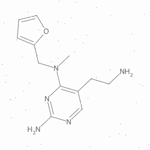 CN(Cc1ccco1)c1nc(N)ncc1CCN